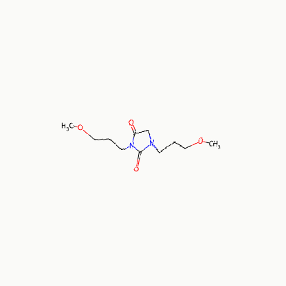 COCCCN1CC(=O)N(CCCOC)C1=O